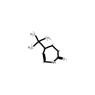 CC(C)(C)C1C=CNC(=O)CC1